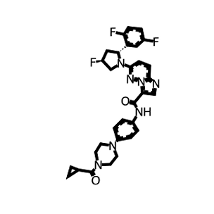 O=C(Nc1ccc(N2CCN(C(=O)C3CC3)CC2)cc1)c1cnc2ccc(N3C[C@@H](F)C[C@@H]3c3cc(F)ccc3F)nn12